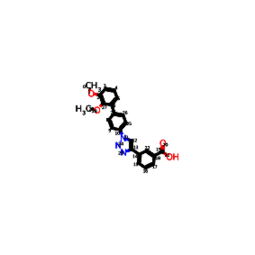 COc1cccc(-c2ccc(-n3cc(-c4cccc(C(=O)O)c4)nn3)cc2)c1OC